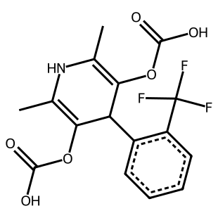 CC1=C(OC(=O)O)C(c2ccccc2C(F)(F)F)C(OC(=O)O)=C(C)N1